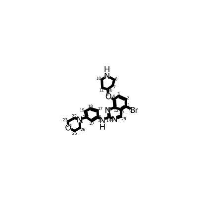 Brc1ccc(OC2CCNCC2)c2nc(Nc3cccc(N4CCOCC4)c3)ncc12